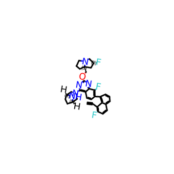 C#Cc1c(F)ccc2cccc(-c3ccc4c(N5C[C@H]6CC[C@@H](C5)N6)nc(OC[C@@]56CCCN5C[C@H](F)C6)nc4c3F)c12